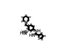 Br.Br.N=C(Nc1ccc(CN2CCCCC2)cc1)c1cccs1